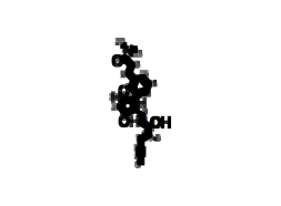 CC#CC[C@@H](C)[C@H](O)/C=C/[C@@H]1[C@H]2c3cccc(CCC(=O)N(C)C)c3O[C@H]2C[C@H]1O